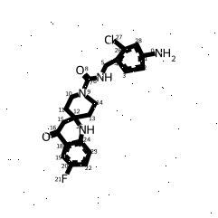 Nc1ccc(CNC(=O)N2CCC3(CC2)CC(=O)c2cc(F)ccc2N3)c(Cl)c1